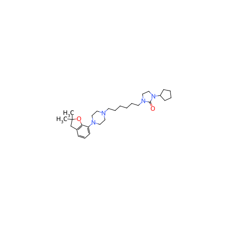 CC1(C)Cc2cccc(N3CCN(CCCCCCN4CCN(C5CCCC5)C4=O)CC3)c2O1